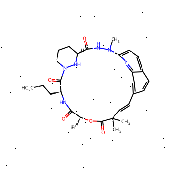 CC(C)[C@@H]1OC(=O)C(C)(C)/C=C/c2ccc3ccc(nc3c2)N(C)NC(=O)[C@@H]2CCCN(N2)C(=O)[C@H](CCC(=O)O)NC1=O